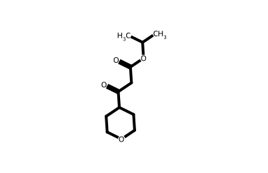 CC(C)OC(=O)CC(=O)C1CCOCC1